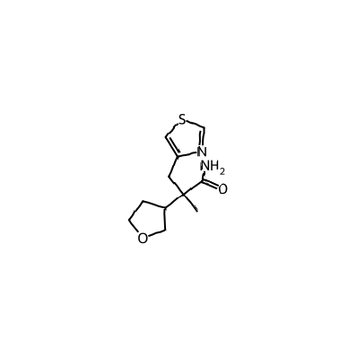 CC(Cc1cscn1)(C(N)=O)C1CCOC1